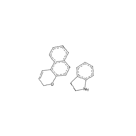 C1=Cc2c(ccc3ccccc23)OC1.c1ccc2c(c1)CCN2